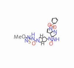 COc1nsc(NC(=O)N2C[C@H]3CC(n4c(=O)[nH]c5cnc6c(ccn6S(=O)(=O)c6ccccc6)c54)C[C@H]3C2)n1